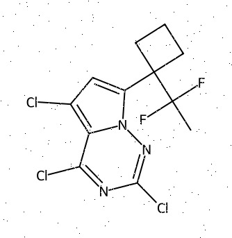 CC(F)(F)C1(c2cc(Cl)c3c(Cl)nc(Cl)nn23)CCC1